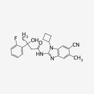 Cc1cc2nc(NC(=O)CC(C)(O)c3ccccc3F)n(C3CCC3)c2cc1C#N